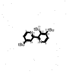 CC(C)(C)c1ccnc(-c2nccc(C(C)(C)C)c2C(C)(C)C)c1